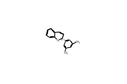 Cc1cc(C)cc([C@H]2C=Cc3ccccc3O2)c1